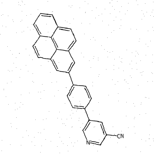 N#Cc1cncc(-c2ccc(-c3cc4ccc5cccc6ccc(c3)c4c56)cc2)c1